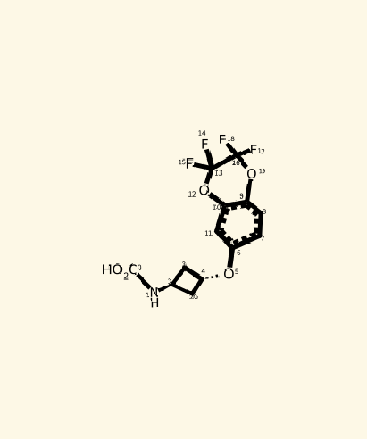 O=C(O)N[C@H]1C[C@H](Oc2ccc3c(c2)OC(F)(F)C(F)(F)O3)C1